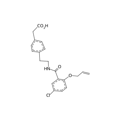 C=CCOc1ccc(Cl)cc1C(=O)NCCc1ccc(CC(=O)O)cc1